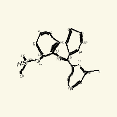 Cc1cncc(C(=Nc2ccccc2O[SiH](C)C)c2ccccc2)n1